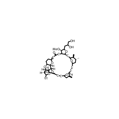 C=C1C2CC3OC(CC(O)CO)[C@H](OC)C3CC(=O)C[C@H]3CCC4O[C@@H]5[C@H]6OC(CC)[C@@H]5OC(CCC5CC(=C)[C@H](CCC(C[C@H]1C)O2)O5)O[C@H]6[C@H]4O3